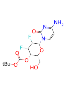 CC(C)(C)OC(=O)O[C@@H]1[C@H](F)C(F)[C@H](n2ccc(N)nc2=O)O[C@@H]1CO